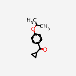 CC(C)Oc1ccc(C(=O)C2CC2)cc1